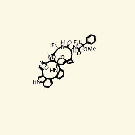 CO[C@](C(=O)N[C@H]1Cc2ccc3c(c2)[C@]24c5cccc(c5NC2O3)-c2cccc3[nH]cc(c23)-c2cnc(o2)-c2nc(oc24)[C@H](C(C)C)NC1=O)(c1ccccc1)C(F)(F)F